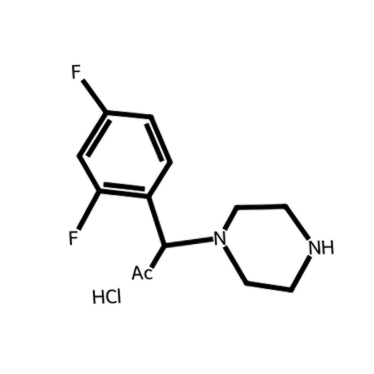 CC(=O)C(c1ccc(F)cc1F)N1CCNCC1.Cl